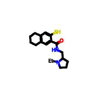 CCN1CCCC1CNC(=O)c1cc2c(cc1S)CCCC2